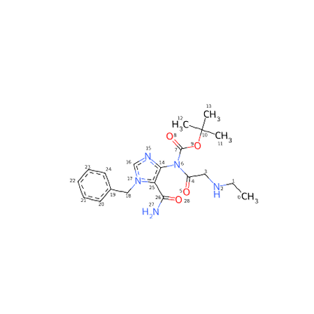 CCNCC(=O)N(C(=O)OC(C)(C)C)c1ncn(Cc2ccccc2)c1C(N)=O